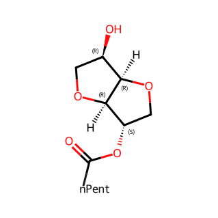 CCCCCC(=O)O[C@H]1CO[C@H]2[C@@H]1OC[C@H]2O